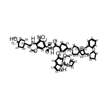 CC(C)c1ccccc1[C@@H]1CCCN1C1CC2(CCN(c3ccc(C(=O)NS(=O)(=O)c4cc5c(c([N+](=O)[O-])c4)N[C@@H]([C@H]4CC[C@](C)(O)CC4)CO5)c(Oc4cc5cc[nH]c5nc4OC[C@@H]4CCN4C)c3)CC2)C1